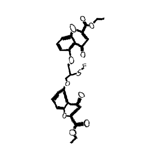 CCOC(=O)c1cc(=O)c2c(OCC(COc3cccc4oc(C(=O)OCC)cc(=O)c34)SF)cccc2o1